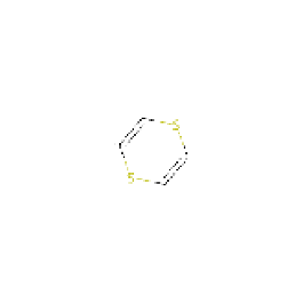 [C]1=CSC=CS1